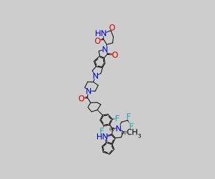 C[C@@H]1Cc2c([nH]c3ccccc23)[C@@H](c2c(F)cc(C3CCC(C(=O)N4CCC(N5Cc6cc7c(cc6C5)C(=O)N(C5CCC(=O)NC5=O)C7)CC4)CC3)cc2F)N1CC(F)F